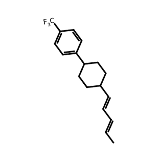 CC=CC=CC1CCC(c2ccc(C(F)(F)F)cc2)CC1